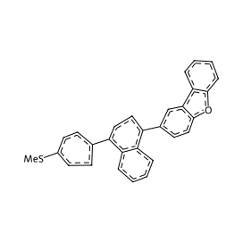 CSc1ccc(-c2ccc(-c3ccc4oc5ccccc5c4c3)c3ccccc23)cc1